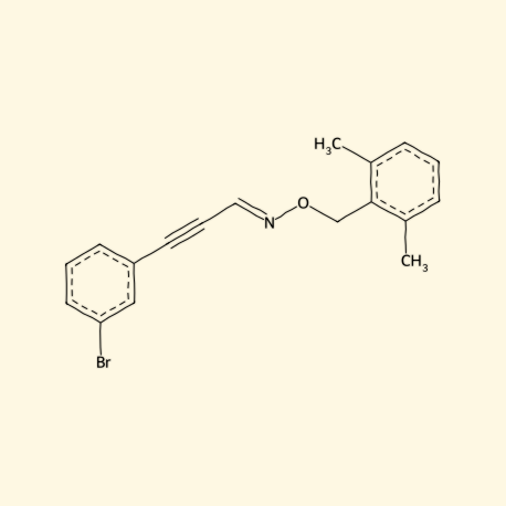 Cc1cccc(C)c1CO/N=C/C#Cc1cccc(Br)c1